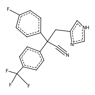 N#CC(Cc1c[nH]cn1)(c1ccc(F)cc1)c1ccc(C(F)(F)F)cc1